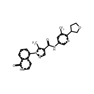 O=C(Nc1cnc(C2CCOC2)c(C(F)(F)F)c1)c1cnn(-c2cccc3c(=O)[nH]ccc23)c1C(F)(F)F